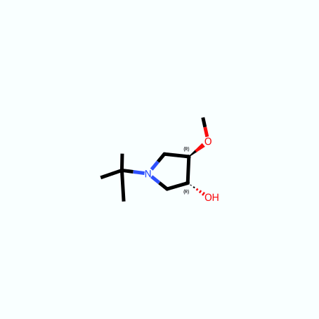 CO[C@@H]1CN(C(C)(C)C)C[C@H]1O